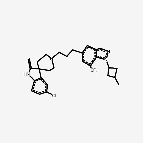 C=C1Nc2ccc(Cl)cc2C12CCN(CCCc1cc(C(F)(F)F)c3c(cnn3C3CC(C)C3)c1)CC2